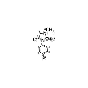 CN1CC(=O)N(c2ccc(F)cc2)C1=[Se]